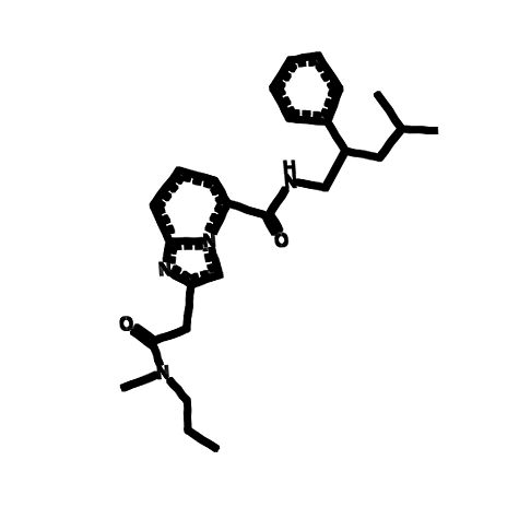 CCCN(C)C(=O)Cc1cn2c(C(=O)NCC(CC(C)C)c3ccccc3)cccc2n1